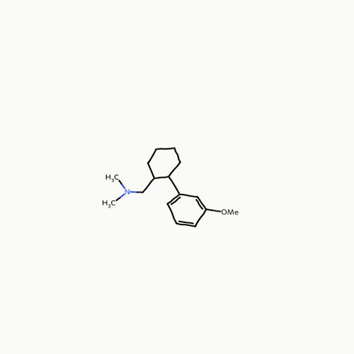 COc1cccc(C2CCCCC2CN(C)C)c1